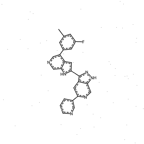 Cc1cc(F)cc(-c2cncc3[nH]c(-c4n[nH]c5cnc(-c6cccnc6)cc45)cc23)c1